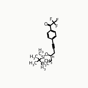 CC[C@H](CC#Cc1ccc(C(=O)C(F)(F)F)cc1)O[Si](C)(C)C(C)(C)C